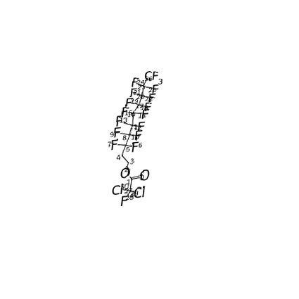 O=C(OCCC(F)(F)C(F)(F)C(F)(F)C(F)(F)C(F)(F)C(F)(F)C(F)(F)C(F)(F)F)C(F)(Cl)Cl